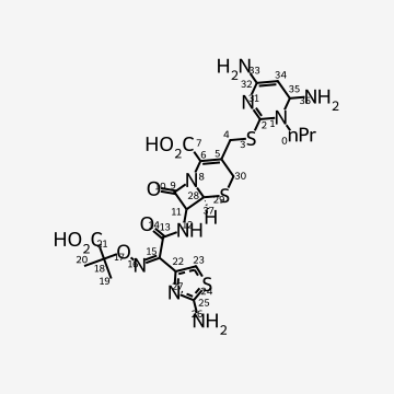 CCCN1C(SCC2=C(C(=O)O)N3C(=O)C(NC(=O)/C(=N\OC(C)(C)C(=O)O)c4csc(N)n4)[C@@H]3SC2)=NC(N)=CC1N